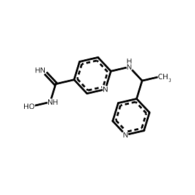 CC(Nc1ccc(C(=N)NO)cn1)c1ccncc1